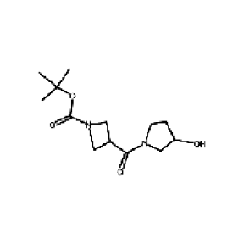 CC(C)(C)OC(=O)N1CC(C(=O)N2CCC(O)C2)C1